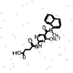 CN(C(=O)c1cnc(NC(=O)CCC(=O)O)nc1O)c1cccc2ccccc12